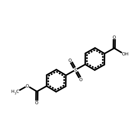 COC(=O)c1ccc(S(=O)(=O)c2ccc(C(=O)O)cc2)cc1